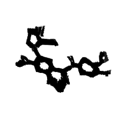 COc1cc2ncnc(Nc3ccc(F)c(Cl)c3)c2cc1N1CCNC1=S